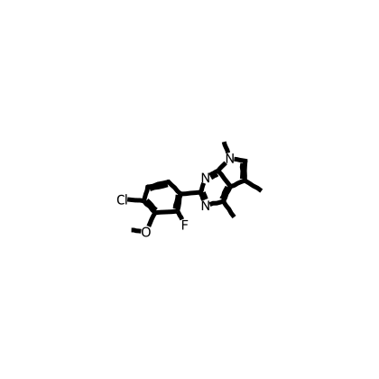 COc1c(Cl)ccc(-c2nc(C)c3c(C)cn(C)c3n2)c1F